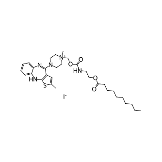 CCCCCCCCCC(=O)OCCNC(=O)OC[N+]1(C)CCN(C2=Nc3ccccc3Nc3sc(C)cc32)CC1.[I-]